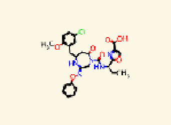 CC[C@@H](NC(=O)N1C/C(=N/Oc2ccccc2)NC(Cc2cc(Cl)ccc2OC)CC1=O)c1nc(C(=O)O)co1